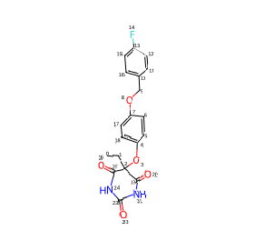 CCC1(Oc2ccc(OCc3ccc(F)cc3)cc2)C(=O)NC(=O)NC1=O